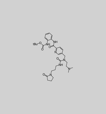 CN(C)CCN(Cc1ccc(C(=O)Nc2ccccc2NC(=O)OC(C)(C)C)nc1)C(=O)NCCCN1CCCC1=O